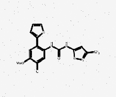 COc1cc(-c2ccco2)c(NC(=O)Nc2cc(C(F)(F)F)no2)cc1Cl